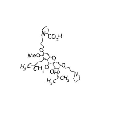 COc1c(OCCCCN2CCCC2C(=O)O)cc2oc3cc(OCCCCN4CCCC4)c(CC=C(C)C)c(O)c3c(=O)c2c1CC=C(C)C